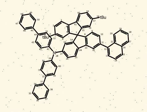 CC(C)(C)c1ccc2c(c1)C1(c3ccc(-c4cccc5ccccc45)cc3-c3ccc(N(c4ccc(-c5ccccc5)cc4)c4ccc(-c5ccccc5)cc4)cc31)c1cc(C(C)(C)C)ccc1-2